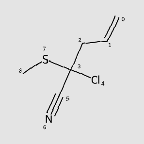 C=CCC(Cl)(C#N)SC